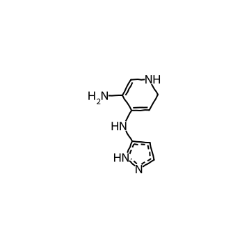 NC1=CNCC=C1Nc1ccn[nH]1